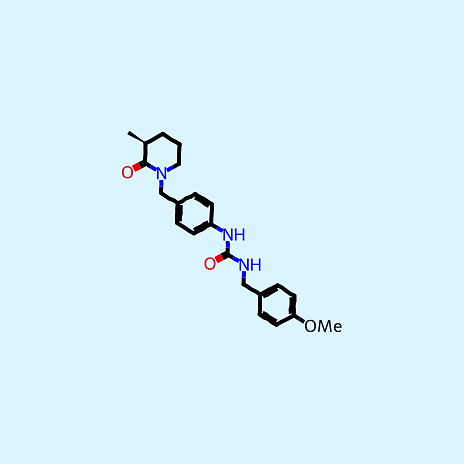 COc1ccc(CNC(=O)Nc2ccc(CN3CCC[C@H](C)C3=O)cc2)cc1